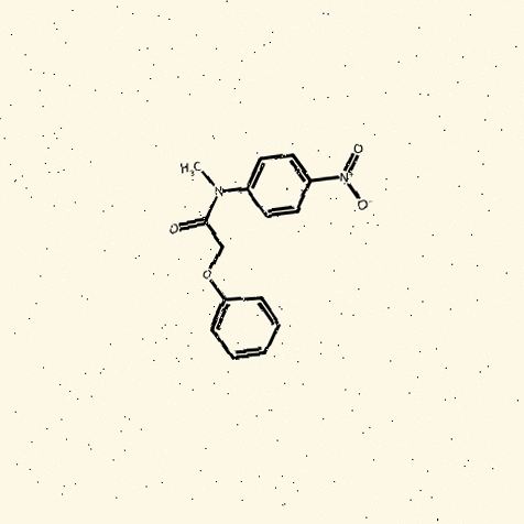 CN(C(=O)COc1ccccc1)c1ccc([N+](=O)[O-])cc1